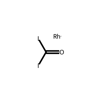 O=C(I)I.[Rh]